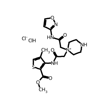 COC(=O)c1scc(C)c1NC(=O)C[N+]1(CC(=O)Nc2ccon2)CCNCC1.Cl.[Cl-]